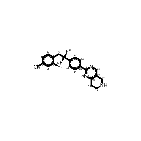 Fc1cc(Cl)ccc1CC(F)(F)c1ccc(-c2ncc3c(n2)CCNC3)cc1